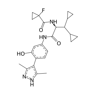 Cc1n[nH]c(C)c1-c1ccc(NC(=O)[C@@H](NC(=O)C2(F)CC2)C(C2CC2)C2CC2)cc1O